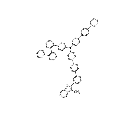 Cc1c(-c2cccc(-c3ccc(-c4ccc(N(c5ccc(-c6ccc(-c7ccccc7)cc6)cc5)c5ccc(-c6ccccc6-c6ccccc6-c6ccccc6)cc5)cc4)cc3)c2)oc2ccccc12